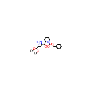 CCOC(CCC(N)C(=O)[C@@H]1CCCCN1C(=O)OCc1ccccc1)OCC